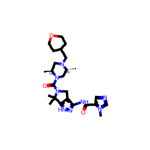 C[C@@H]1CN(C(=O)N2Cc3c(NC(=O)c4cncn4C)n[nH]c3C2(C)C)[C@@H](C)CN1CC1CCOCC1